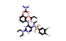 CCC(=O)Oc1c(Nc2nc(N(CC)CC)ncc2N(CC)S(=O)(=O)c2ccc(F)c(F)c2)cccc1OC(=O)N(C)C